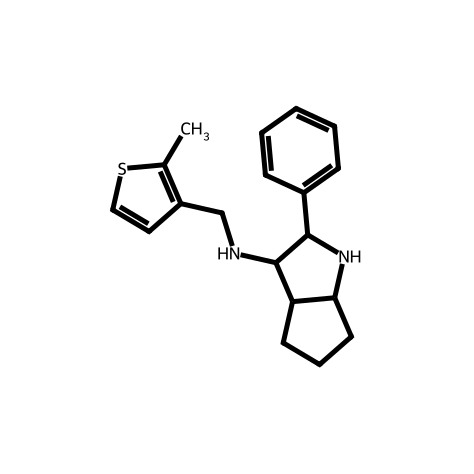 Cc1sccc1CNC1C(c2ccccc2)NC2CCCC21